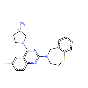 Cc1ccc2nc(N3CCSc4ccccc4C3)nc(N3CC[C@H](N)C3)c2c1